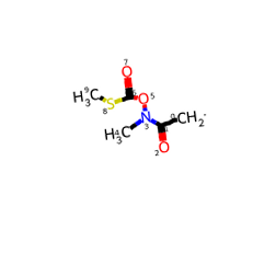 [CH2]C(=O)N(C)OC(=O)SC